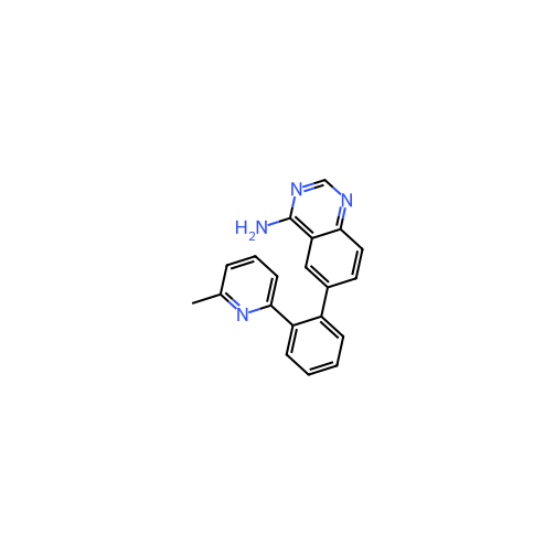 Cc1cccc(-c2ccccc2-c2ccc3ncnc(N)c3c2)n1